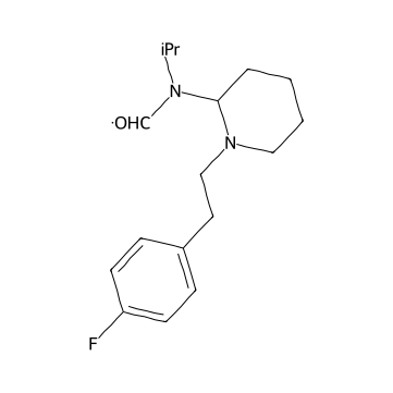 CC(C)N([C]=O)C1CCCCN1CCc1ccc(F)cc1